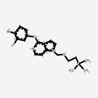 C[Si](C)(C)CCOCn1ccc2c(Oc3ccc(Br)c(F)c3)nccc21